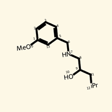 COc1cccc(CNCC(O)CC(C)C)c1